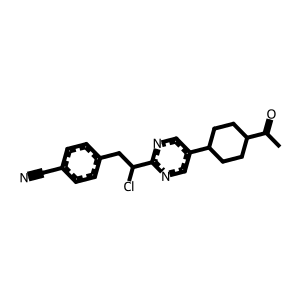 CC(=O)C1CCC(c2cnc(C(Cl)Cc3ccc(C#N)cc3)nc2)CC1